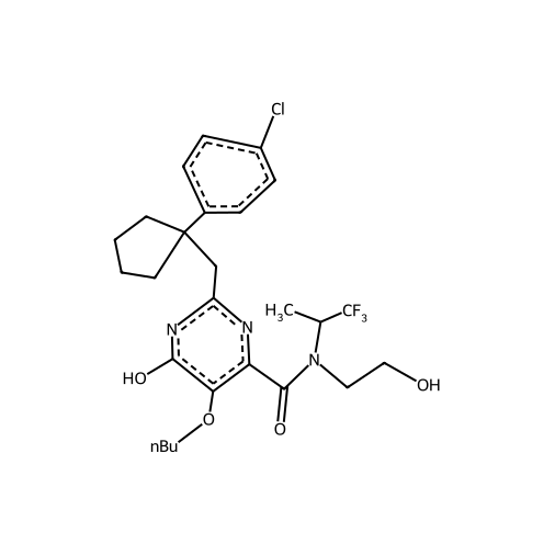 CCCCOc1c(O)nc(CC2(c3ccc(Cl)cc3)CCCC2)nc1C(=O)N(CCO)C(C)C(F)(F)F